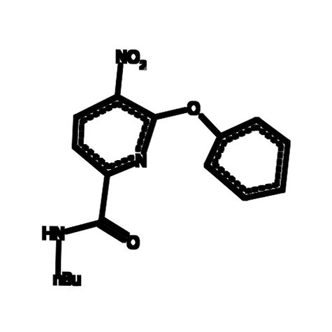 CCCCNC(=O)c1ccc([N+](=O)[O-])c(Oc2ccccc2)n1